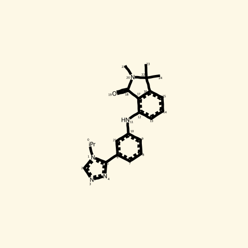 CC(C)n1cnnc1-c1cccc(Nc2cccc3c2C(=O)N(C)C3(C)C)c1